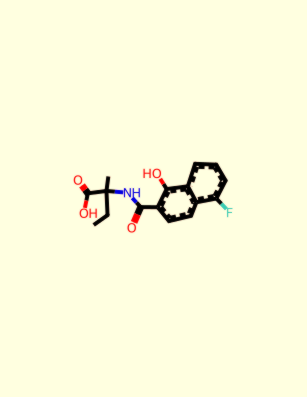 CCC(C)(NC(=O)c1ccc2c(F)cccc2c1O)C(=O)O